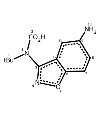 CC(C)(C)N(C(=O)O)c1noc2ccc(N)cc12